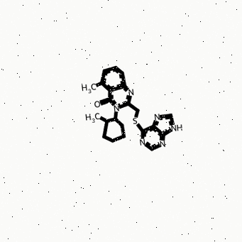 Cc1cccc2nc(CSc3ncnc4[nH]cnc34)n(C3CCCCC3C)c(=O)c12